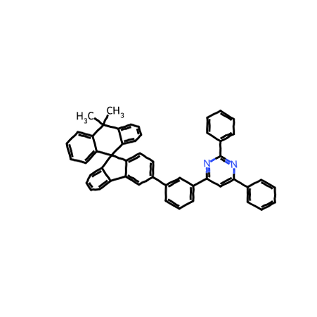 CC1(C)c2ccccc2C2(c3ccccc3-c3cc(-c4cccc(-c5cc(-c6ccccc6)nc(-c6ccccc6)n5)c4)ccc32)c2ccccc21